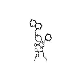 CCCCC(C(=O)OCC)N1CN(c2ccccc2)C2(CCN(Cc3cccc4ccccc34)CC2)C1=O